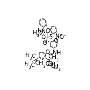 CCCC(Nc1cccc(C(=O)C(OC)(Sc2ccccc2[N+](=O)[O-])C(=O)Nc2ccccc2)c1)Oc1ccc(C(C)(C)CC)cc1C(C)(C)CC